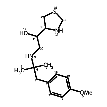 COc1ccc(CC(C)(C)NCC(O)C2CSCN2)cc1